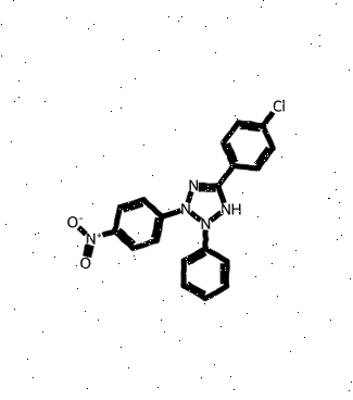 O=[N+]([O-])c1ccc(N2N=C(c3ccc(Cl)cc3)NN2c2ccccc2)cc1